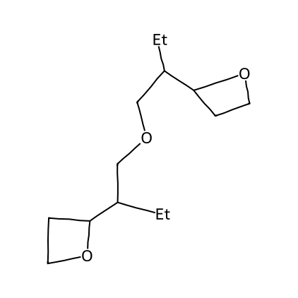 CCC(COCC(CC)C1CCO1)C1CCO1